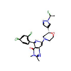 Cc1nc2cc(N3CCO[C@@H](c4cnn([C@H](C)F)c4)C3)nc(-c3ccc(Cl)cc3F)c2c(=O)n1C